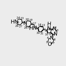 c1nc(N2CCOCC2)c2cc(-c3ccc(NCC4CCN(C5CCNCC5)CC4)cc3)[nH]c2n1